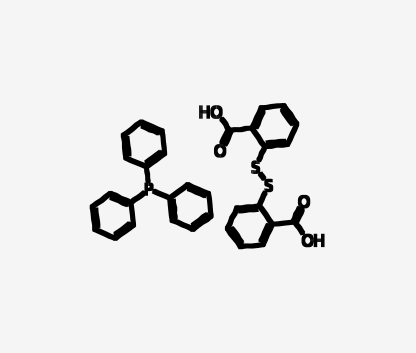 O=C(O)c1ccccc1SSc1ccccc1C(=O)O.c1ccc(P(c2ccccc2)c2ccccc2)cc1